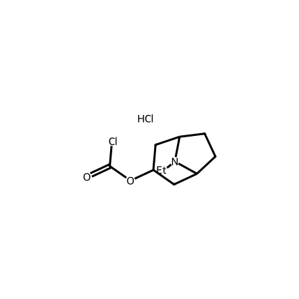 CCN1C2CCC1CC(OC(=O)Cl)C2.Cl